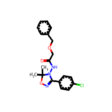 CC1(C)ON=C(c2ccc(Cl)cc2)N1NC(=O)COCc1ccccc1